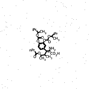 CCCC(=O)OC(C)C(C)C(c1ccc(OC(=O)OC(C)C(C)C)c(OC(=O)OC(C)C(C)C)c1)[C@H](N)C(=O)O